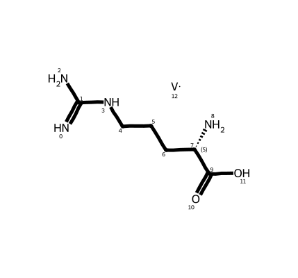 N=C(N)NCCC[C@H](N)C(=O)O.[V]